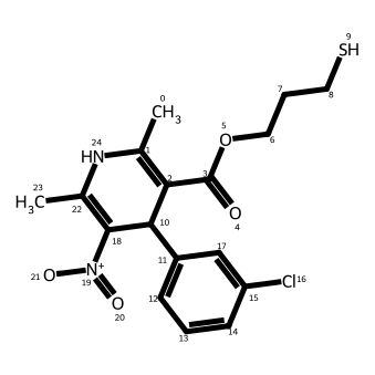 CC1=C(C(=O)OCCCS)C(c2cccc(Cl)c2)C([N+](=O)[O-])=C(C)N1